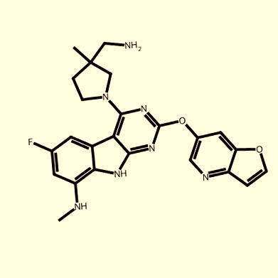 CNc1cc(F)cc2c1[nH]c1nc(Oc3cnc4ccoc4c3)nc(N3CCC(C)(CN)C3)c12